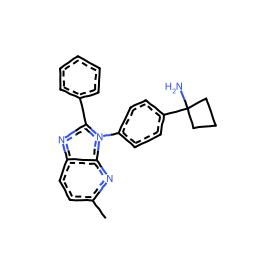 Cc1ccc2nc(-c3ccccc3)n(-c3ccc(C4(N)CCC4)cc3)c2n1